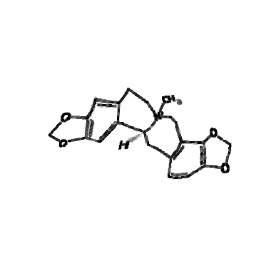 C[N+]12CCc3cc4c(cc3[C@@H]1Cc1ccc3c(c1C2)OCO3)OCO4